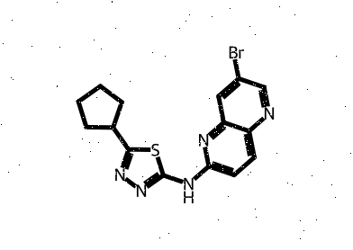 Brc1cnc2ccc(Nc3nnc(C4CCCC4)s3)nc2c1